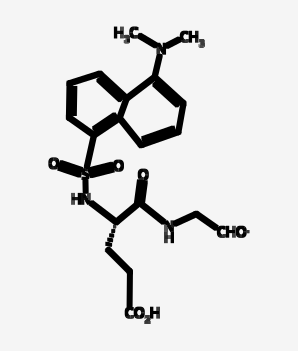 CN(C)c1cccc2c(S(=O)(=O)N[C@@H](CCC(=O)O)C(=O)NC[C]=O)cccc12